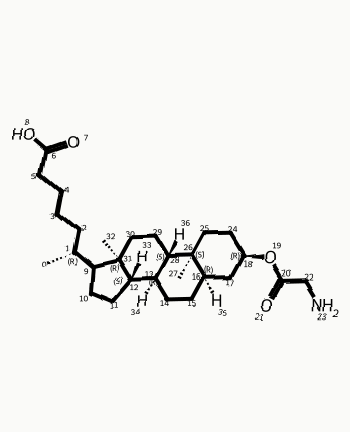 C[C@H](CCCCC(=O)O)C1CC[C@H]2[C@@H]3CC[C@@H]4C[C@H](OC(=O)CN)CC[C@]4(C)[C@H]3CC[C@]12C